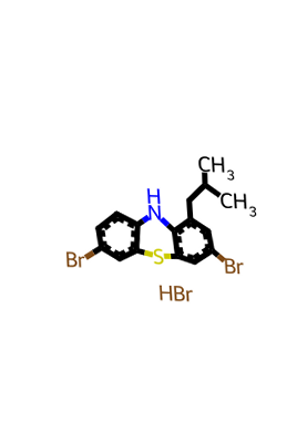 Br.CC(C)Cc1cc(Br)cc2c1Nc1ccc(Br)cc1S2